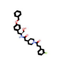 O=C(CC1CCN(C(=O)CCc2cccc(F)c2)CC1)N[C@H](CO)Cc1ccc(OCc2ccccc2)cc1